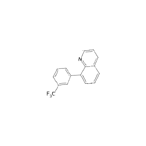 FC(F)(F)c1cccc(-c2cccc3cc[c]nc23)c1